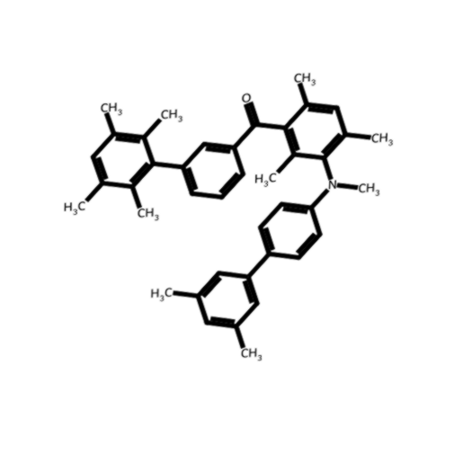 Cc1cc(C)cc(-c2ccc(N(C)c3c(C)cc(C)c(C(=O)c4cccc(-c5c(C)c(C)cc(C)c5C)c4)c3C)cc2)c1